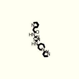 O=C(Cc1ccccn1)Nc1nnc(NC2CCCN(c3cccnn3)CC2)s1